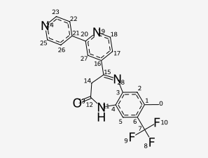 Cc1cc2c(cc1C(F)(F)F)NC(=O)CC(c1ccnc(-c3ccncc3)c1)=N2